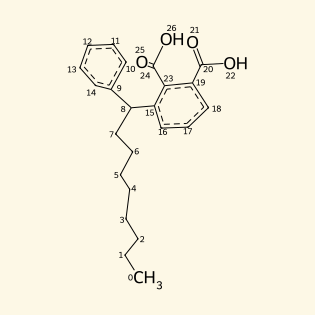 CCCCCCCCC(c1ccccc1)c1cccc(C(=O)O)c1C(=O)O